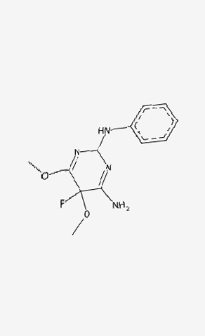 COC1=NC(Nc2ccccc2)N=C(N)C1(F)OC